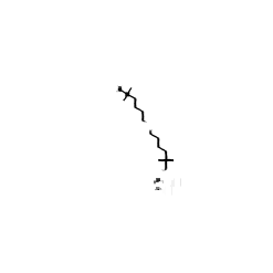 CC(C)(CCCCOCCCCC(C)(C)C(=O)O)COP(=O)(O)O